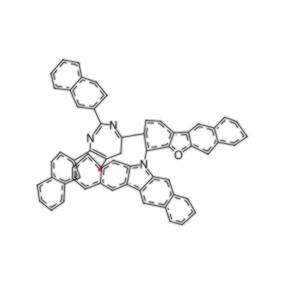 CC1=C(c2ccc3ccccc3c2)N=C(c2ccc3ccccc3c2)N=C(c2ccc3c(oc4cc5ccccc5cc43)c2-n2c3cc4ccccc4cc3c3cc4ccccc4cc32)C1